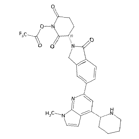 Cn1ccc2c(C3CCCCN3)cc(-c3ccc4c(c3)CN([C@H]3CCC(=O)N(OC(=O)C(F)(F)F)C3=O)C4=O)nc21